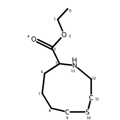 CCOC(=O)C1CCCCSCCN1